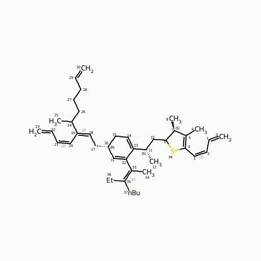 C=C/C=C\C1=C(C)[C@H](C)C(C[C@H](C)C2=CC[C@@H](C/C=C(\C=C/C=C)C(C)CCCC=C)C=C2/C(C)=C(\CC)CCCC)S1